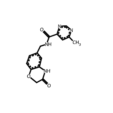 Cc1cc(C(=O)NCc2ccc3c(c2)NC(=O)CO3)ncn1